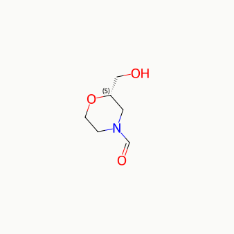 O=CN1CCO[C@H](CO)C1